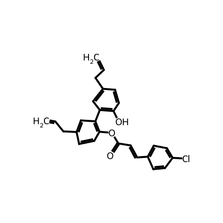 C=CCc1ccc(O)c(-c2cc(CC=C)ccc2OC(=O)/C=C/c2ccc(Cl)cc2)c1